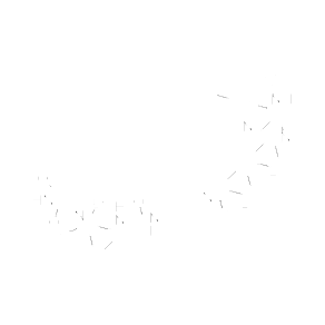 C=CCCNc1c(C(=O)NC2CC2)cnc2cc(F)c(-c3ccc(C(=O)NCCCCNC(=O)CNc4cccc5c4C(=O)N(C4CCC(=O)NC4=O)C5=O)c(F)c3)cc12